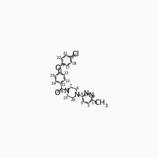 Cc1ccc(N2CCN(C(=O)c3ccc(Oc4ccc(Cl)cc4)cc3)CC2)nn1